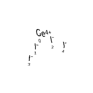 [Ge+4].[I-].[I-].[I-].[I-]